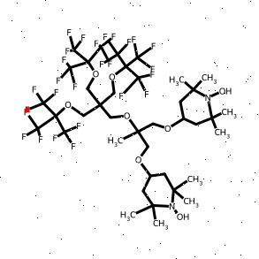 CC(COC1CC(C)(C)N(O)C(C)(C)C1)(COC1CC(C)(C)N(O)C(C)(C)C1)OCC(COC(C(F)(F)F)(C(F)(F)F)C(F)(F)F)(COC(C(F)(F)F)(C(F)(F)F)C(F)(F)F)COC(C(F)(F)F)(C(F)(F)F)C(F)(F)F